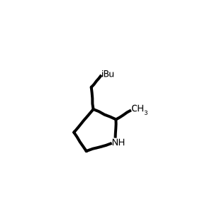 CCC(C)CC1CCNC1C